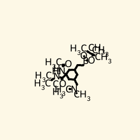 CC(=O)NC1(C(=O)NC(C)(C)C)CC(CCB2OC(C)(C)C(C)(C)O2)CC(CN(C)C)C1